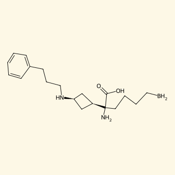 BCCCCC(N)(C(=O)O)[C@H]1C[C@@H](NCCCc2ccccc2)C1